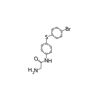 NCC(=O)Nc1ccc(Sc2ccc(Br)cc2)cc1